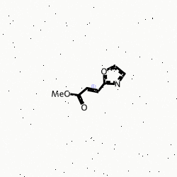 COC(=O)/C=C/c1ncco1